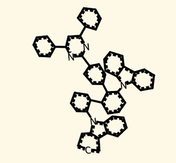 c1ccc(-c2cc(-c3ccccc3)nc(-c3ccc(-c4c(-c5ccccc5-n5c6ccccc6c6ccccc65)cccc4-n4c5ccccc5c5ccccc54)cc3)n2)cc1